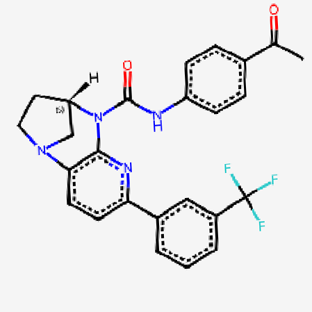 CC(=O)c1ccc(NC(=O)N2c3nc(-c4cccc(C(F)(F)F)c4)ccc3N3CC[C@H]2C3)cc1